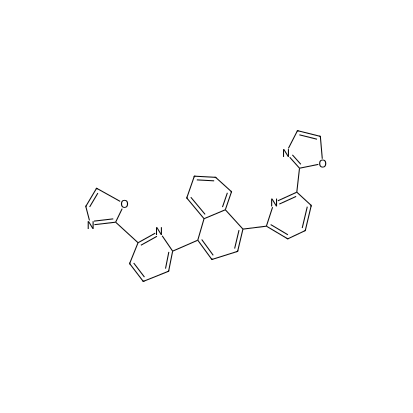 c1cc(-c2ncco2)nc(-c2ccc(-c3cccc(-c4ncco4)n3)c3ccccc23)c1